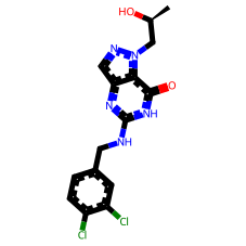 C[C@H](O)Cn1ncc2nc(NCc3ccc(Cl)c(Cl)c3)[nH]c(=O)c21